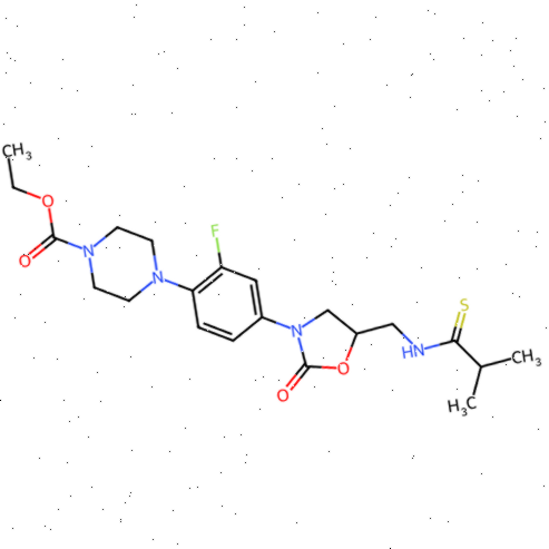 CCOC(=O)N1CCN(c2ccc(N3CC(CNC(=S)C(C)C)OC3=O)cc2F)CC1